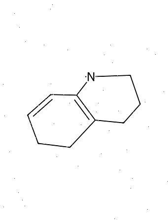 C1=CC2=C(CC1)CCC[N]2